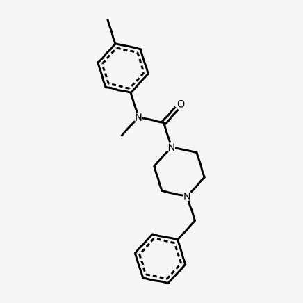 Cc1ccc(N(C)C(=O)N2CCN(Cc3ccccc3)CC2)cc1